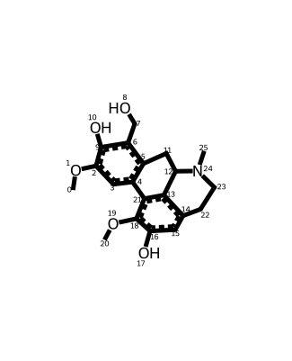 COc1cc2c(c(CO)c1O)CC1c3c(cc(O)c(OC)c3-2)CCN1C